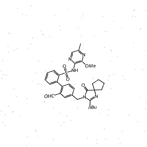 CCCCC1=NC2(CCCC2)C(=O)N1Cc1ccc(-c2ccccc2S(=O)(=O)Nc2ncc(C)nc2OC)c(C=O)c1